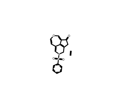 C=C.O=C1CC2=C3C(=CN(S(=O)(=O)c4ccccc4)C2)C=COC=C13